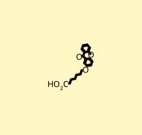 O=C(O)CCCCCCOc1ccc2oc3ccccc3c(=O)c2c1